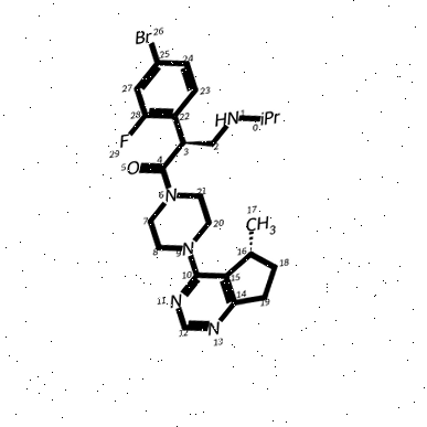 CC(C)NC[C@@H](C(=O)N1CCN(c2ncnc3c2[C@H](C)CC3)CC1)c1ccc(Br)cc1F